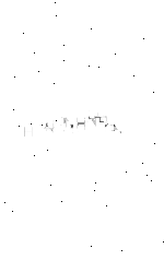 CN1CCc2ccc(NC(=O)c3cccc(CNC(=O)C4CC=C(c5cnco5)S4)c3)cc2C1